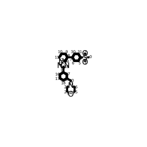 CS(=O)(=O)c1ccc(-c2cccn3nc(-c4[c]ccc(CN5CCOCC5)c4)nc23)cc1